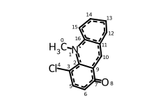 Cn1c2c(Cl)ccc(=O)c-2cc2ccccc21